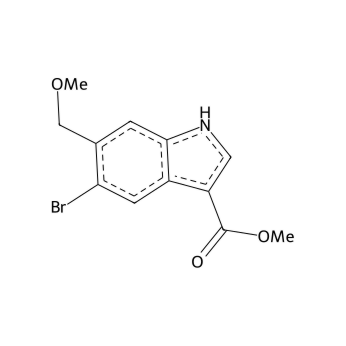 COCc1cc2[nH]cc(C(=O)OC)c2cc1Br